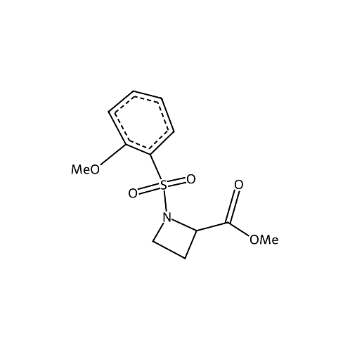 COC(=O)C1CCN1S(=O)(=O)c1ccccc1OC